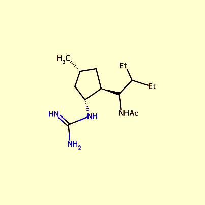 CCC(CC)C(NC(C)=O)[C@@H]1C[C@@H](C)C[C@H]1NC(=N)N